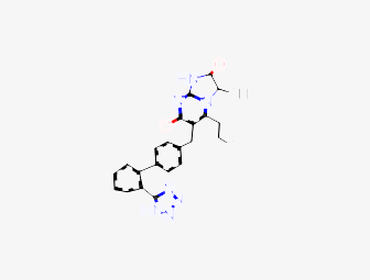 CCCc1c(Cc2ccc(-c3ccccc3-c3nnn[nH]3)cc2)c(=O)nc2n1C(C)C(=O)N2